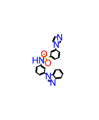 O=S(=O)(Nc1cccc(-n2cnc3ccccc32)c1)c1cccc(-n2ccnc2)c1